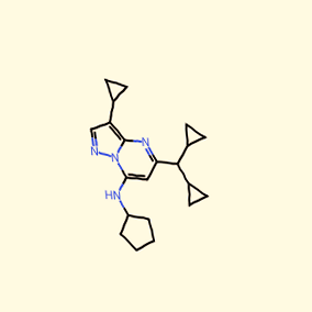 c1nn2c(NC3CCCC3)cc(C(C3CC3)C3CC3)nc2c1C1CC1